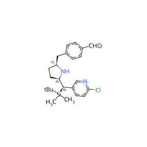 CC(C)(C)[Si](C)(C)[C@H](c1ccc(Cl)nc1)[C@H]1CC[C@@H](Cc2ccc(C=O)cc2)N1